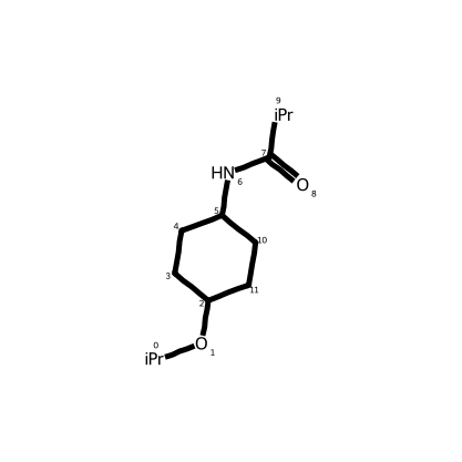 CC(C)OC1CCC(NC(=O)C(C)C)CC1